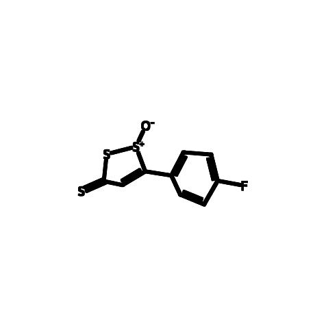 [O-][s+]1sc(=S)cc1-c1ccc(F)cc1